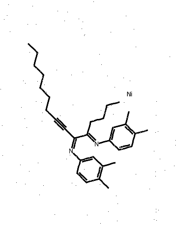 CCCCCCCC#CC(=Nc1ccc(C)c(C)c1)C(CCCC)=Nc1ccc(C)c(C)c1.[Ni]